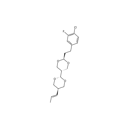 C/C=C/[C@H]1CO[C@H]([C@H]2CO[C@H](CCc3ccc(Cl)c(F)c3)OC2)OC1